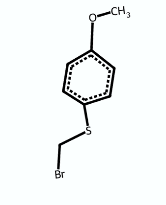 COc1ccc(SCBr)cc1